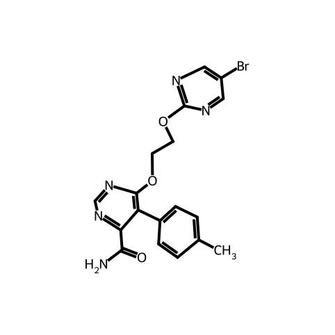 Cc1ccc(-c2c(OCCOc3ncc(Br)cn3)ncnc2C(N)=O)cc1